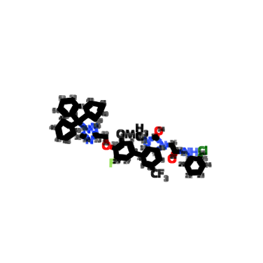 COc1cc(-c2cc(C(F)(F)F)cc3c2n(C)c(=O)n3CC(=O)Nc2ccccc2Cl)cc(F)c1OCc1ncn(C(c2ccccc2)(c2ccccc2)c2ccccc2)n1